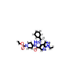 CCOC(=O)N1CCC(NC(=O)c2cnc3c(cnn3CC)c2N[C@@H](C)C2CCCCC2)CC1